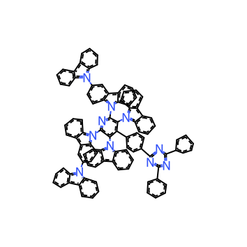 c1ccc(-c2nc(-c3ccccc3)nc(-c3ccc(-c4c(-n5c6ccccc6c6ccccc65)c(-n5c6ccccc6c6cc(-n7c8ccccc8c8ccccc87)ccc65)nc(-n5c6ccccc6c6cc(-n7c8ccccc8c8ccccc87)ccc65)c4-n4c5ccccc5c5ccccc54)cc3)n2)cc1